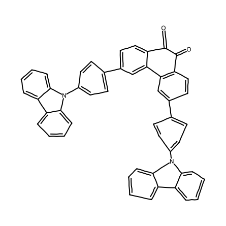 O=C1C(=O)c2ccc(-c3ccc(-n4c5ccccc5c5ccccc54)cc3)cc2-c2cc(-c3ccc(-n4c5ccccc5c5ccccc54)cc3)ccc21